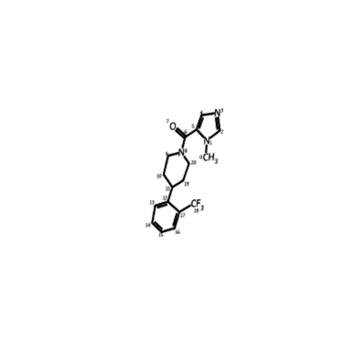 Cn1cncc1C(=O)N1CCC(c2ccccc2C(F)(F)F)CC1